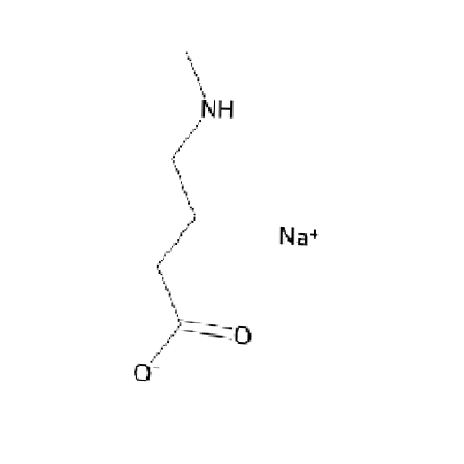 CNCCCC(=O)[O-].[Na+]